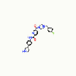 O=C(Nc1ccc(C2C=CNC2)cc1)c1ccc(C(=O)N2CCN(Cc3ccc(F)cc3)CC2)cn1